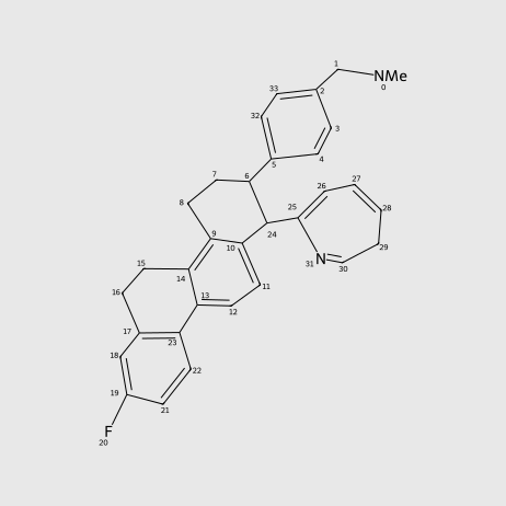 CNCc1ccc(C2CCc3c(ccc4c3CCc3cc(F)ccc3-4)C2C2=CC=CCC=N2)cc1